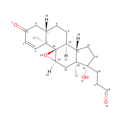 C[C@]12C=CC(=O)C[C@@H]1CC[C@H]1[C@@H]3CC[C@@](O)(CCC=O)[C@@]3(C)C[C@H]3O[C@]312